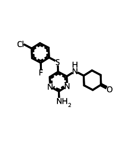 Nc1ncc(Sc2ccc(Cl)cc2F)c(NC2CCC(=O)CC2)n1